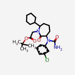 CC(C)(C)OC(=O)CN1C(=O)C(N(C(N)=O)c2cccc(Cl)c2)CCCC1C1CCCCC1